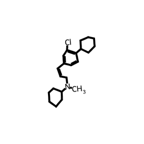 CN(C/C=C\c1ccc(C2CCCCC2)c(Cl)c1)C1CCCCC1